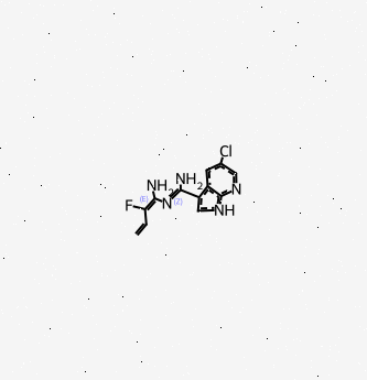 C=C/C(F)=C(N)\N=C(/N)c1c[nH]c2ncc(Cl)cc12